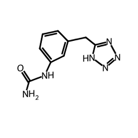 NC(=O)Nc1cccc(Cc2nnn[nH]2)c1